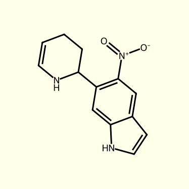 O=[N+]([O-])c1cc2cc[nH]c2cc1C1CCC=CN1